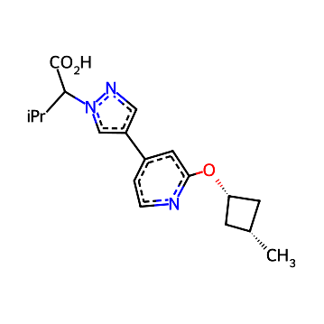 CC(C)C(C(=O)O)n1cc(-c2ccnc(O[C@H]3C[C@@H](C)C3)c2)cn1